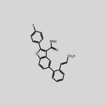 CNC(=O)c1c(-c2ccc(F)cc2)oc2ccc(-c3ccccc3/C=C/C(=O)O)cc12